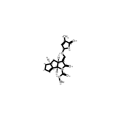 CC1=CC(O/C=C2/C(=O)N(C(=O)OC(C)(C)C)[C@@H]3C4=CCC[C@H]4C[C@H]23)OC1=O